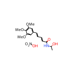 COc1cc(C=CC=CC(=O)NC(C)O)cc(OC)c1OC.O=[N+]([O-])O